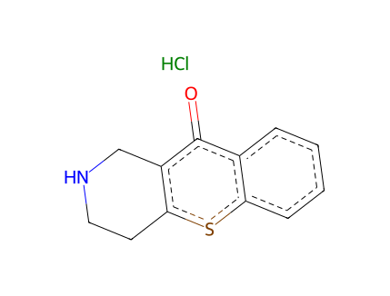 Cl.O=c1c2c(sc3ccccc13)CCNC2